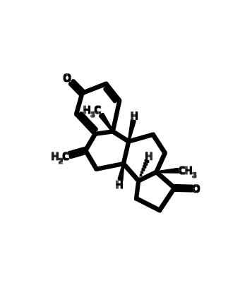 C=C1C[C@@H]2[C@@H](CC[C@]3(C)C(=O)CC[C@@H]23)[C@@]2(C)C=CC(=O)C=C12